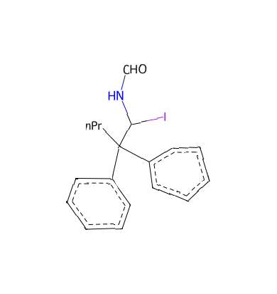 CCCC(c1ccccc1)(c1ccccc1)C(I)NC=O